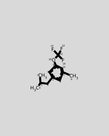 Cc1cc(CC(C)C)cc(OC(F)(F)F)c1